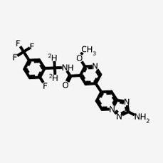 [2H]C([2H])(NC(=O)c1cc(-c2ccn3nc(N)nc3c2)cnc1OC)c1cc(C(F)(F)F)ccc1F